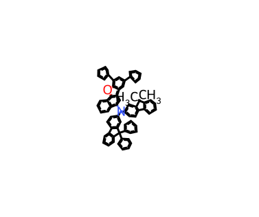 CC1(C)c2ccccc2-c2ccc(N(c3ccc4c(c3)C(c3ccccc3)(c3ccccc3)c3ccccc3-4)c3cc4c5cc(-c6ccccc6)cc(-c6ccccc6)c5oc4c4ccccc34)cc21